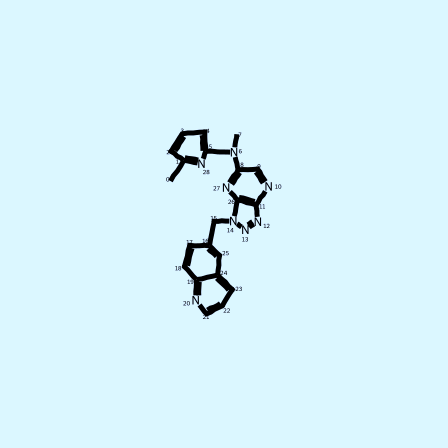 Cc1cccc(N(C)c2cnc3nnn(Cc4ccc5ncccc5c4)c3n2)n1